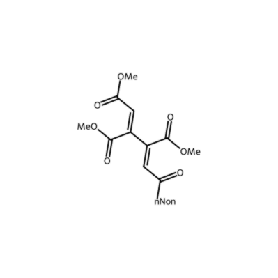 CCCCCCCCCC(=O)/C=C(C(=O)OC)/C(=C/C(=O)OC)C(=O)OC